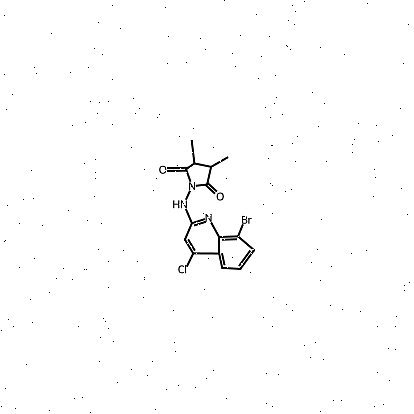 CC1C(=O)N(Nc2cc(Cl)c3cccc(Br)c3n2)C(=O)C1C